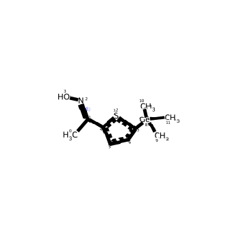 C/C(=N\O)c1cc[c]([Ge]([CH3])([CH3])[CH3])s1